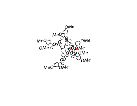 COc1ccc(C(=O)OOC(=O)OCCC(COC(=O)OOC(=O)c2ccc(OC)cc2OC)C(COC(=O)OOC(=O)c2ccc(OC)cc2OC)C(CCOC(=O)OOC(=O)c2ccc(OC)cc2OC)COC(=O)OOC(=O)c2ccc(OC)cc2OC)c(OC)c1